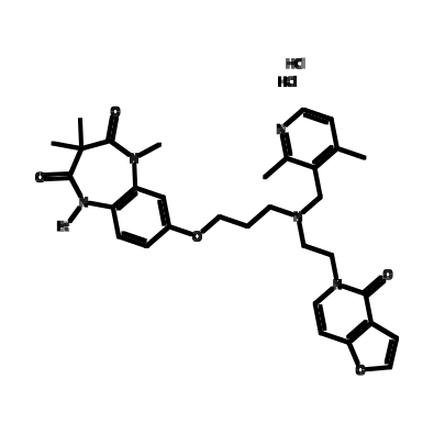 CCN1C(=O)C(C)(C)C(=O)N(C)c2cc(OCCCN(CCn3ccc4occc4c3=O)Cc3c(C)ccnc3C)ccc21.Cl.Cl